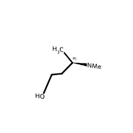 CN[C@H](C)CCO